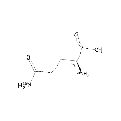 [15NH2]C(=O)CC[C@H]([15NH2])C(=O)O